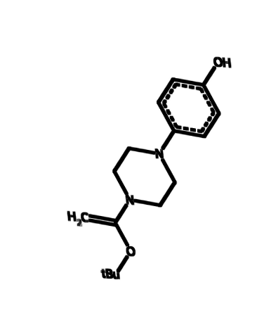 C=C(OC(C)(C)C)N1CCN(c2ccc(O)cc2)CC1